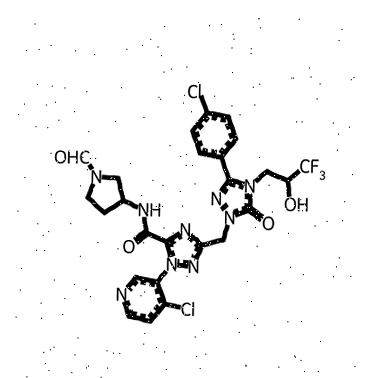 O=CN1CCC(NC(=O)c2nc(Cn3nc(-c4ccc(Cl)cc4)n(CC(O)C(F)(F)F)c3=O)nn2-c2cnccc2Cl)C1